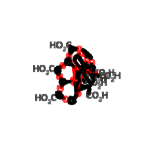 O=C(O)CCC1c2cc3c4cc2OC2Oc5cc6c(cc51)C(CCC(=O)O)c1cc5c7cc1OC(O6)c1cc6cc(c1)Oc1cc(cc(C(=O)O)c1)Oc1cc8cc(c1)C(Oc1cc(c(cc1C5CCC(=O)O)C3CCC(=O)O)OC(O4)c1cc(cc(c1)Oc1cc(cc(C(=O)O)c1)O8)Oc1cc(cc(C(=O)O)c1)Oc1cc(cc2c1)Oc1cc(cc(C(=O)O)c1)O6)O7